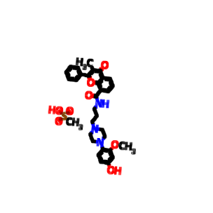 COc1cc(O)ccc1N1CCN(CCCNC(=O)c2cccc3c(=O)c(C)c(-c4ccccc4)oc23)CC1.CS(=O)(=O)O